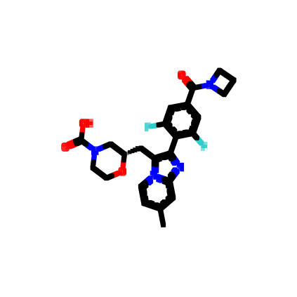 Cc1ccn2c(C[C@H]3CN(C(=O)O)CCO3)c(-c3c(F)cc(C(=O)N4CCC4)cc3F)nc2c1